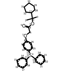 CC(C)(OC(=O)COc1ccc([S+](c2ccccc2)c2ccccc2)cc1)C1CCCCC1